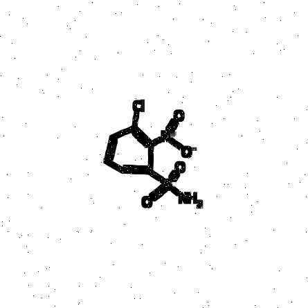 NS(=O)(=O)c1cccc(Cl)c1[N+](=O)[O-]